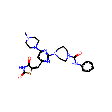 CN1CCN(c2cc(C=C3SC(=O)NC3=O)nc(N3CCCN(C(=O)Nc4ccccc4)CC3)n2)CC1